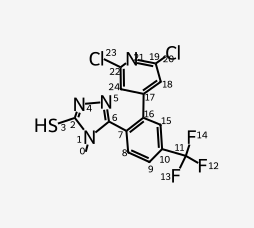 Cn1c(S)nnc1-c1ccc(C(F)(F)F)cc1-c1cc(Cl)nc(Cl)c1